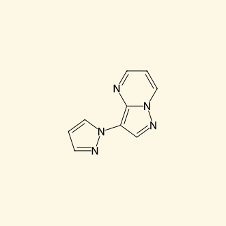 c1cnn(-c2cnn3cccnc23)c1